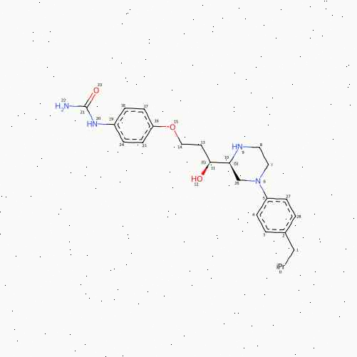 CC(C)Cc1ccc(N2CCN[C@H]([C@@H](O)CCOc3ccc(NC(N)=O)cc3)C2)cc1